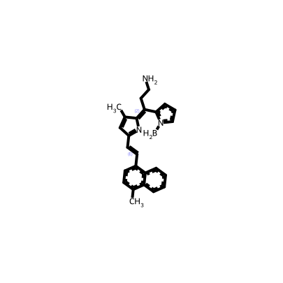 Bn1cccc1/C(CCN)=C1N=C(/C=C/c2ccc(C)c3ccccc23)C=C\1C